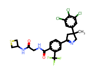 CC1(c2cc(Cl)c(Cl)c(Cl)c2)CN=C(c2ccc(C(=O)NCC(=O)NC3CSC3)c(C(F)(F)F)c2)C1